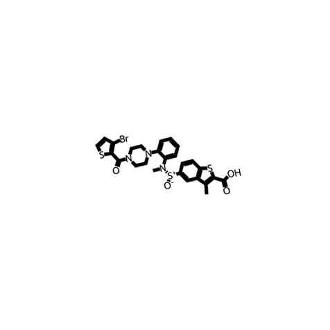 Cc1c(C(=O)O)sc2ccc([S+]([O-])N(C)c3ccccc3N3CCN(C(=O)c4sccc4Br)CC3)cc12